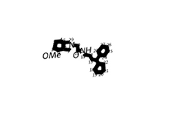 COc1cccc2c1CN(CC(=O)NCCCC(c1ccccc1)c1ccccc1)C2